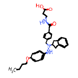 CCCCOc1ccc(NN(Cc2ccc(C(=O)NCCC(=O)O)cc2)C2Cc3ccccc3C2)cc1